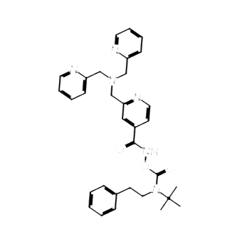 CC(C)(C)N(CCc1ccccc1)C(=O)ONC(=O)c1ccnc(CN(Cc2ccccn2)Cc2ccccn2)c1